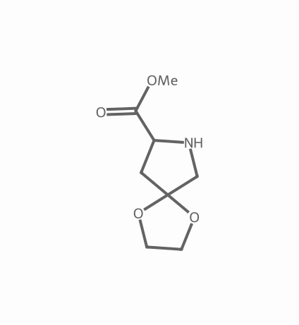 COC(=O)C1CC2(CN1)OCCO2